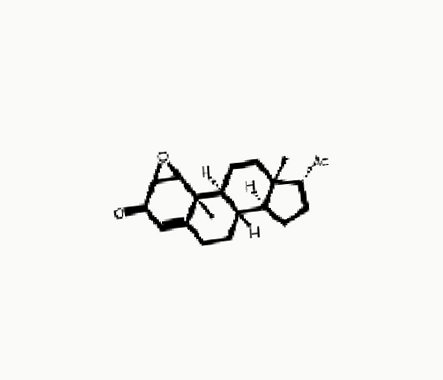 CC(=O)[C@@H]1CC[C@H]2[C@@H]3CCC4=CC(=O)C5OC5[C@]4(C)[C@H]3CC[C@]12C